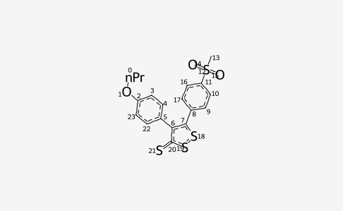 CCCOc1ccc(-c2c(-c3ccc(S(C)(=O)=O)cc3)ssc2=S)cc1